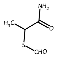 CC(SC=O)C(N)=O